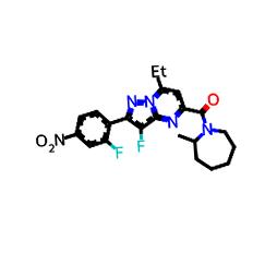 CCc1cc(C(=O)N2CCCCCC2C)nc2c(F)c(-c3ccc([N+](=O)[O-])cc3F)nn12